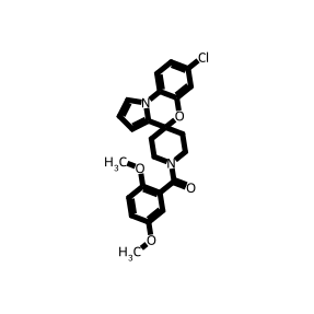 COc1ccc(OC)c(C(=O)N2CCC3(CC2)Oc2cc(Cl)ccc2-n2cccc23)c1